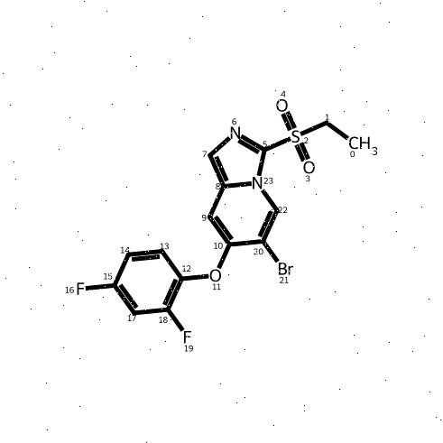 CCS(=O)(=O)c1ncc2cc(Oc3ccc(F)cc3F)c(Br)cn12